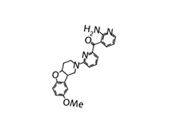 COc1ccc2c(c1)C1CN(c3cccc(C(=O)c4cccnc4N)n3)CCC1O2